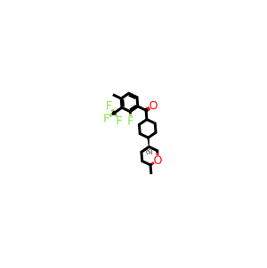 Cc1ccc(C(=O)C2CCC([C@@H]3CCC(C)OC3)CC2)c(F)c1C(F)(F)F